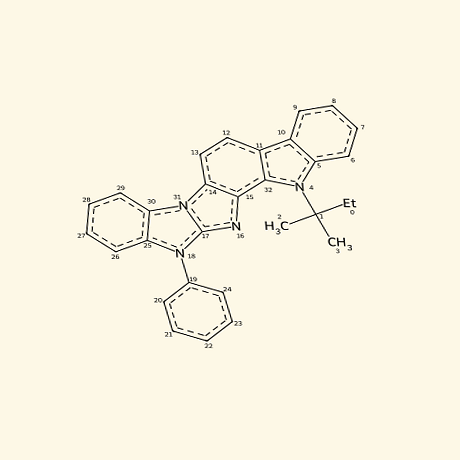 CCC(C)(C)n1c2ccccc2c2ccc3c(nc4n(-c5ccccc5)c5ccccc5n34)c21